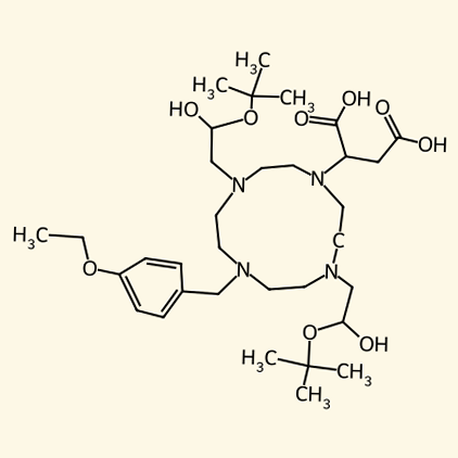 CCOc1ccc(CN2CCN(CC(O)OC(C)(C)C)CCN(C(CC(=O)O)C(=O)O)CCN(CC(O)OC(C)(C)C)CC2)cc1